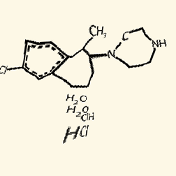 CC1c2ccc(Cl)cc2CCC1N1CCNCC1.Cl.Cl.O.O